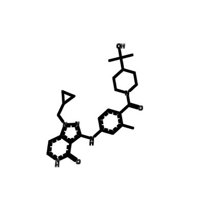 Cc1cc(Nc2nn(CC3CC3)c3cc[nH]c(=O)c23)ccc1C(=O)N1CCC(C(C)(C)O)CC1